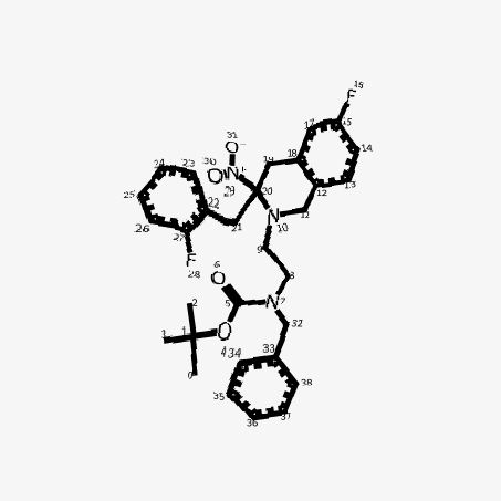 CC(C)(C)OC(=O)N(CCN1Cc2ccc(F)cc2CC1(Cc1ccccc1F)[N+](=O)[O-])Cc1ccccc1